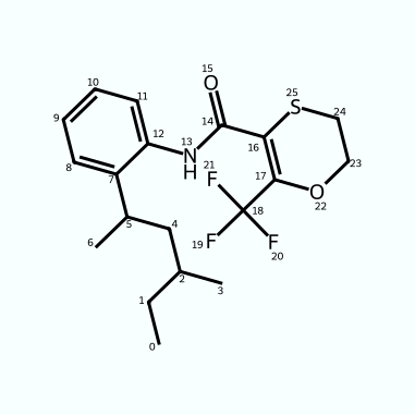 CCC(C)CC(C)c1ccccc1NC(=O)C1=C(C(F)(F)F)OCCS1